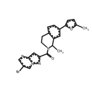 Cc1ccc(-c2ccc3c(c2)C(C)N(C(=O)c2cc4ncc(Br)cn4n2)CC3)o1